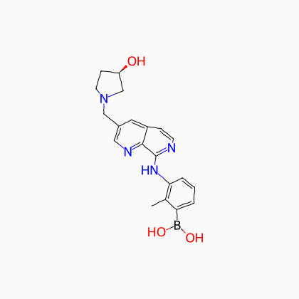 Cc1c(Nc2nccc3cc(CN4CC[C@@H](O)C4)cnc23)cccc1B(O)O